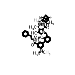 COc1c(CN2C[C@H](O)[C@@H]([C@H](C)O)[C@H]2C(=O)N[C@@H]2C[C@H]3C[C@@H]([C@@H]2C)C3(C)C)cccc1-c1cc(C(=O)NCCc2ccccc2)cc(N(C)C)c1